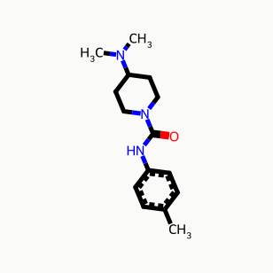 Cc1ccc(NC(=O)N2CCC(N(C)C)CC2)cc1